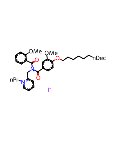 CCCCCCCCCCCCCCCCOc1ccc(C(=O)N(Cc2cccc[n+]2CCC)C(=O)c2ccccc2OC)cc1OC.[I-]